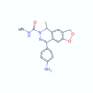 CCCNC(=O)N1N=C(c2ccc(N)cc2)c2cc3c(cc2C1C)COO3